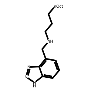 CCCCCCCCCCCNCc1cccc2[nH]nnc12